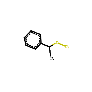 N#CC(SS)c1ccccc1